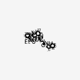 CCN(C(=O)c1c(OC(=O)CCC(=O)N[C@@H]2CCc3ccccc32)c2c(Cl)cccc2n(C)c1=O)c1ccccc1